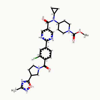 Cc1noc(C2CCN(C(=O)c3ccc(-c4ncc(C(=O)N(C5CC5)C5CCN(C(=O)OC(C)(C)C)CC5)cn4)cc3F)C2)n1